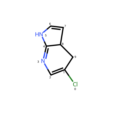 ClC1=CN=C2NC=CC2C1